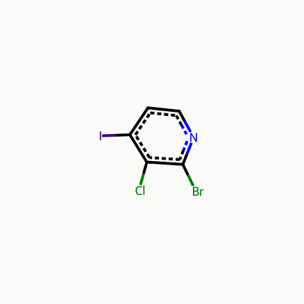 Clc1c(I)ccnc1Br